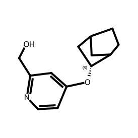 OCc1cc(O[C@@H]2CC3CCC2C3)ccn1